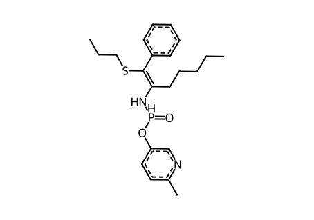 CCCCC/C(N[PH](=O)Oc1ccc(C)nc1)=C(/SCCC)c1ccccc1